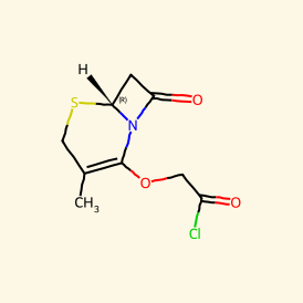 CC1=C(OCC(=O)Cl)N2C(=O)C[C@H]2SC1